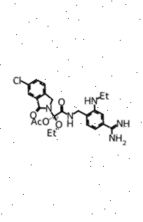 CCNc1cc(C(=N)N)ccc1CNC(=O)[C@](OCC)(OC(C)=O)N1Cc2ccc(Cl)cc2C1=O